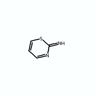 N=c1ncccs1